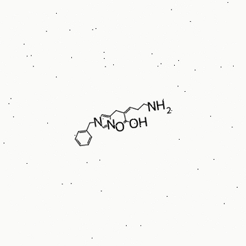 NCC/C=C(/Cc1cn(Cc2ccccc2)cn1)C(=O)O